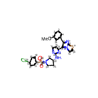 COc1cccc(-c2nc3sccn3c2-c2ccnc(N[C@@H]3CCN(S(=O)(=O)c4ccc(Cl)cc4)C3)n2)c1